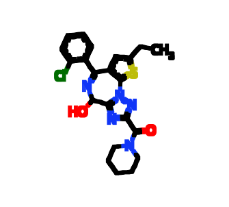 CCc1cc2c(s1)-n1nc(C(=O)N3CCCCC3)nc1C(O)N=C2c1ccccc1Cl